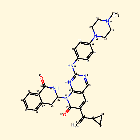 C=C(c1cc2cnc(Nc3ccc(N4CCN(C)CC4)cc3)nc2n(C2Cc3ccccc3C(=O)N2)c1=O)C1CC1